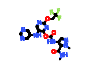 CNC(=O)c1c(NC(=O)Oc2nc(OCC(F)(F)F)ncc2Nc2cncnc2)cnn1C